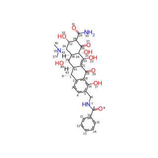 C[C@H]1c2ccc(CNC(=O)c3ccccc3)c(O)c2C(=O)C2=C(O)[C@]3(O)C(=O)C(C(N)=O)C(O)[C@@H](N(C)C)[C@@H]3[C@@H](O)[C@@H]21